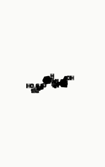 CC(C)(C)N(CCOc1cccc(Nc2ncnc(-c3ccnc(CO)c3)n2)c1)C(=O)O